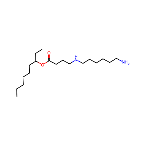 CCCCCCC(CC)OC(=O)CCCNCCCCCCN